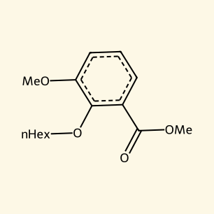 CCCCCCOc1c(OC)cccc1C(=O)OC